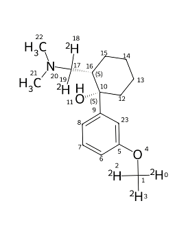 [2H]C([2H])([2H])Oc1cccc([C@]2(O)CCCC[C@H]2C([2H])([2H])N(C)C)c1